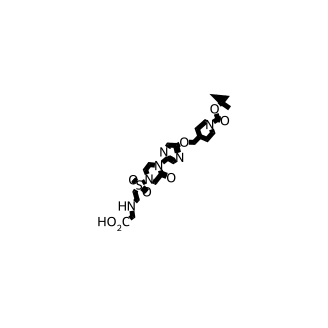 CC1(OC(=O)N2CCC(COc3cnc(N4CCN(S(=O)(=O)CCNCC(=O)O)CC4=O)cn3)CC2)CC1